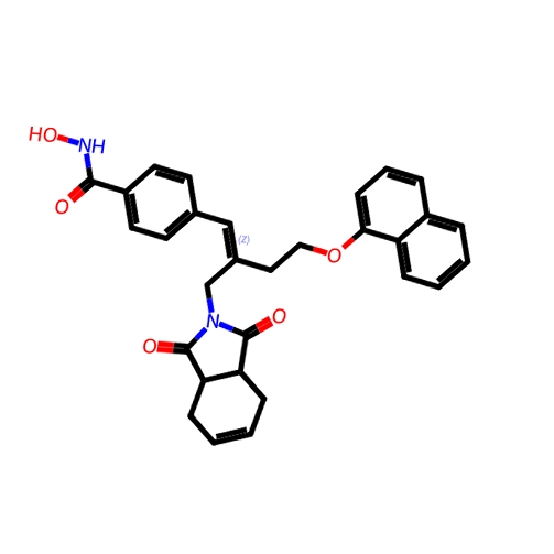 O=C(NO)c1ccc(/C=C(/CCOc2cccc3ccccc23)CN2C(=O)C3CC=CCC3C2=O)cc1